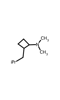 CC(C)CC1CCC1N(C)C